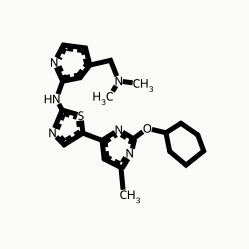 Cc1cc(-c2cnc(Nc3cc(CN(C)C)ccn3)s2)nc(OC2CCCCC2)n1